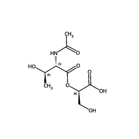 CC(=O)N[C@H](C(=O)O[C@H](CO)C(=O)O)[C@@H](C)O